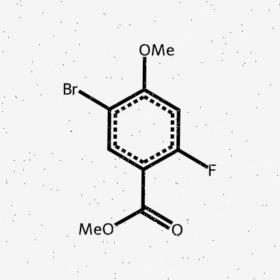 COC(=O)c1cc(Br)c(OC)cc1F